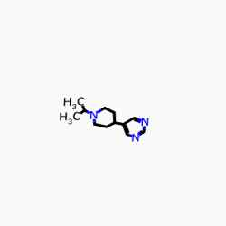 CC(C)N1CCC(c2cncnc2)CC1